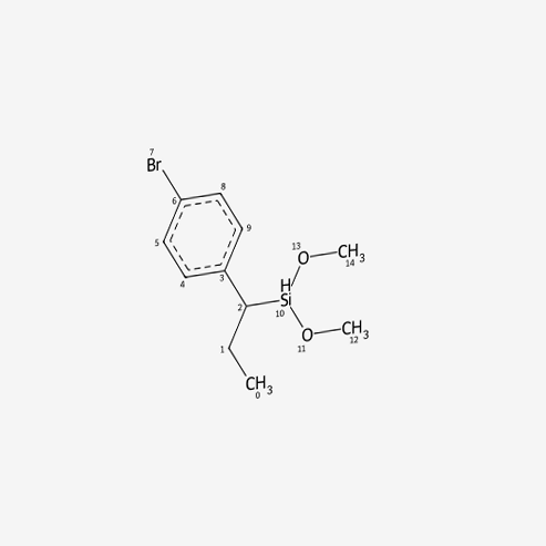 CCC(c1ccc(Br)cc1)[SiH](OC)OC